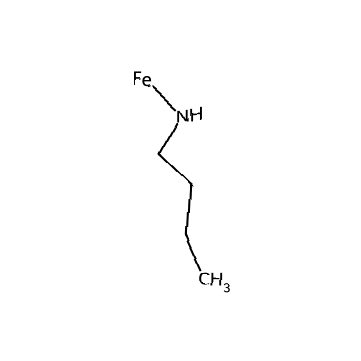 CCCC[NH][Fe]